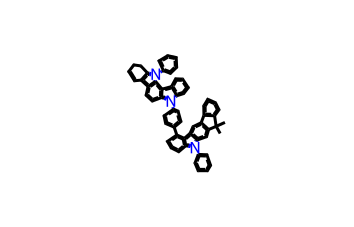 CC1(C)c2ccccc2-c2cc3c4c(-c5ccc(-n6c7ccccc7c7c8c(ccc76)c6c(n8-c7ccccc7)CCC=C6)cc5)cccc4n(-c4ccccc4)c3cc21